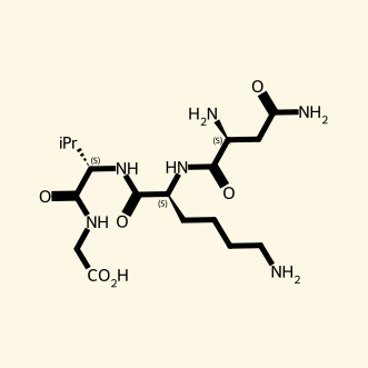 CC(C)[C@H](NC(=O)[C@H](CCCCN)NC(=O)[C@@H](N)CC(N)=O)C(=O)NCC(=O)O